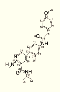 COc1ccc(CC(=O)Nc2ccc(-c3cnc(N)c(C(=O)NC(C)C)c3)c(C)c2)cc1